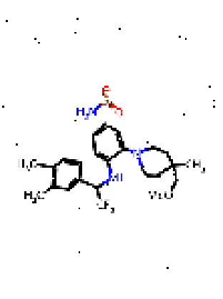 COCC1(C)CCN(c2ccccc2NC(c2ccc(C)c(C)c2)C(F)(F)F)CC1.N[SH](=O)=O